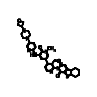 Cn1cc(-c2ccnc(-n3ncc4c5c(sc4c3=O)CCCC5)c2C=O)cc(Nc2ccc(N3CCN(C4COC4)CC3)cn2)c1=O